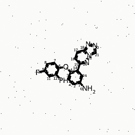 Nc1ccc(Oc2ccc(F)cc2P)c(-c2ccc3nncn3n2)c1